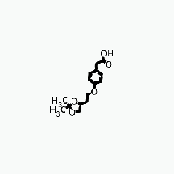 CC1(C)OCC(CCOc2ccc(CC(=O)O)cc2)O1